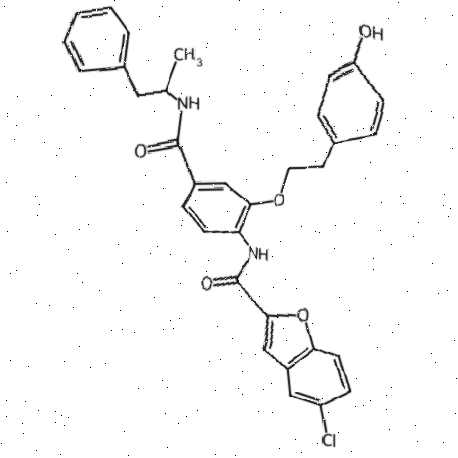 CC(Cc1ccccc1)NC(=O)c1ccc(NC(=O)c2cc3cc(Cl)ccc3o2)c(OCCc2ccc(O)cc2)c1